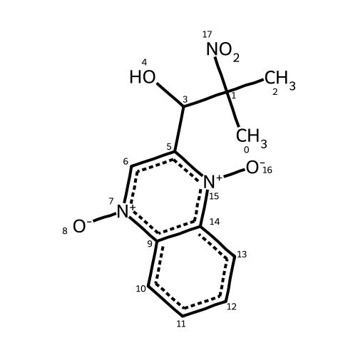 CC(C)(C(O)c1c[n+]([O-])c2ccccc2[n+]1[O-])[N+](=O)[O-]